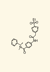 CCS(=O)(=O)c1ccc(CC(=O)Nc2ccc(C(=O)N(C)[C@H](C)c3ccccc3)cc2)cc1